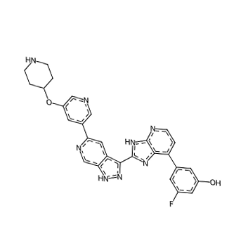 Oc1cc(F)cc(-c2ccnc3[nH]c(-c4n[nH]c5cnc(-c6cncc(OC7CCNCC7)c6)cc45)nc23)c1